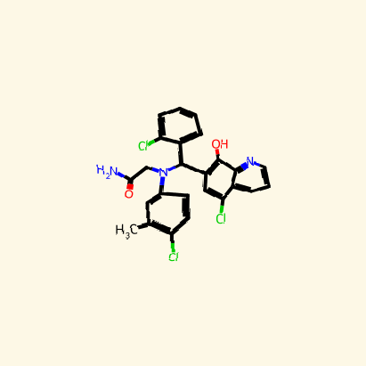 Cc1cc(N(CC(N)=O)C(c2ccccc2Cl)c2cc(Cl)c3cccnc3c2O)ccc1Cl